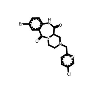 O=C1Nc2ccc(Br)cc2C(=O)N2CCN(Cc3ccc(Cl)cn3)CC12